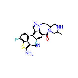 CC1CN2C(=O)c3cc(F)c(-c4ccc(F)c5sc(N)c(C#N)c45)c4cnn(c34)CCC2CN1